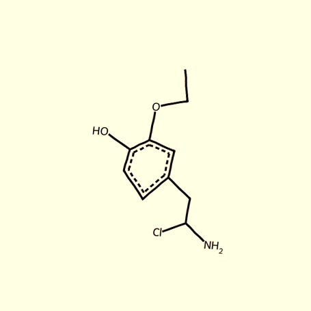 CCOc1cc(CC(N)Cl)ccc1O